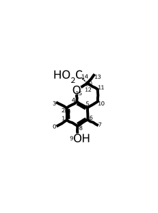 Cc1c(C)c2c(c(C)c1O)CC[C@@](C)(C(=O)O)O2